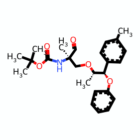 Cc1ccc([C@@H](Oc2ccccc2)[C@H](C)OC[C@](C)(C=O)NC(=O)OC(C)(C)C)cc1